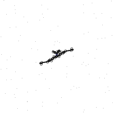 C=CC(=O)OCCCCCCOc1ccc(OC(=O)[C@H]2CC[C@H](C(=O)Oc3ccc(OC(=O)[C@H]4CC[C@H](C(=O)Oc5ccc(OCCCCCCOC(=O)C=C)cc5)CC4)c(/C=N/N(c4ccc(OC)cc4)c4nc5ccccc5s4)c3)CC2)cc1